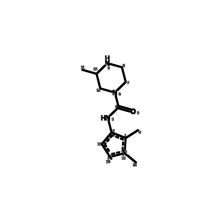 Cc1c(NC(=O)N2CCNC(C)C2)cnn1C